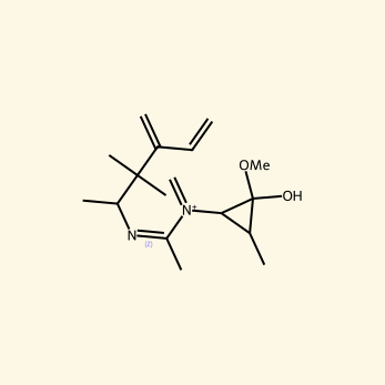 C=CC(=C)C(C)(C)C(C)/N=C(/C)[N+](=C)C1C(C)C1(O)OC